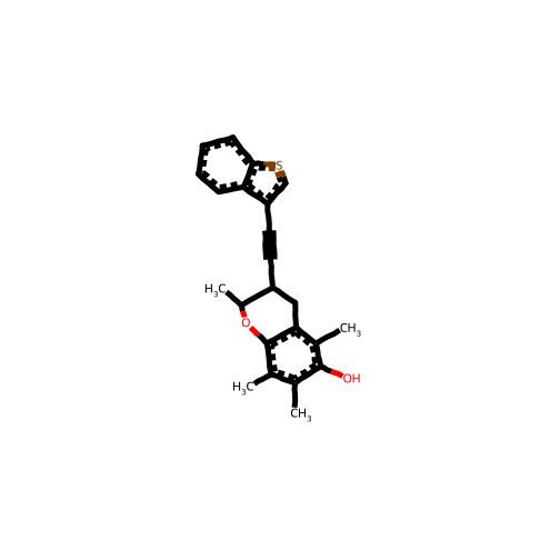 Cc1c(C)c2c(c(C)c1O)CC(C#Cc1csc3ccccc13)C(C)O2